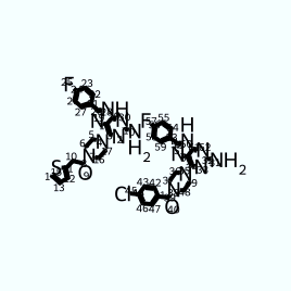 Nc1nc(N2CCN(C(=O)Cc3cccs3)CC2)c2nc(-c3ccc(F)cc3)[nH]c2n1.Nc1nc(N2CCN(C(=O)c3ccc(Cl)cc3)CC2)c2nc(-c3ccc(F)cc3)[nH]c2n1